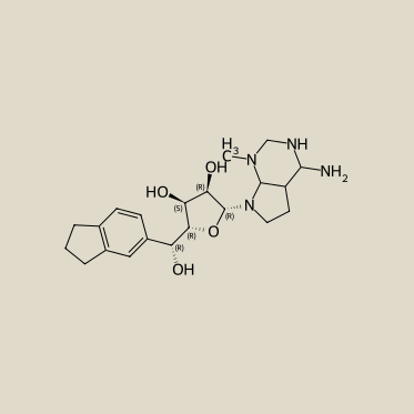 CN1CNC(N)C2CCN([C@@H]3O[C@H]([C@H](O)c4ccc5c(c4)CCC5)[C@@H](O)[C@H]3O)C21